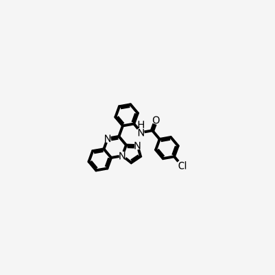 O=C(Nc1ccccc1-c1nc2ccccc2n2ccnc12)c1ccc(Cl)cc1